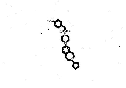 O=S(=O)(Cc1ccc(C(F)(F)F)cc1)N1CCN(c2ccc3c(c2)CCN(C2CCCC2)CC3)CC1